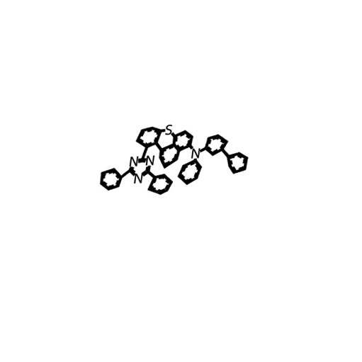 c1ccc(-c2cccc(N(c3ccccc3)c3ccc4c5c(cccc35)-c3c(cccc3-c3nc(-c5ccccc5)nc(-c5ccccc5)n3)S4)c2)cc1